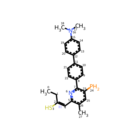 CC/C(S)=C\c1nc(-c2ccc(-c3ccc(N(C)C)cc3)cc2)c(P)cc1C